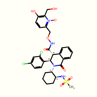 CS(=O)(=O)N[C@H]1CCCC[C@@H]1N1C(=O)c2ccccc2[C@@H](C(=O)NOCc2ccc(O)c(CO)[n+]2[O-])[C@@H]1c1ccc(Cl)cc1Cl